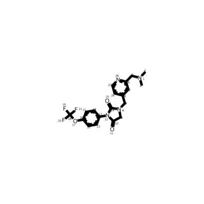 CN(C)Cc1cc(CN2CC(=O)N(c3ccc(OC(F)(F)F)cc3)C2=O)ccn1